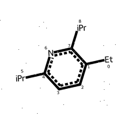 CCc1ccc(C(C)C)nc1C(C)C